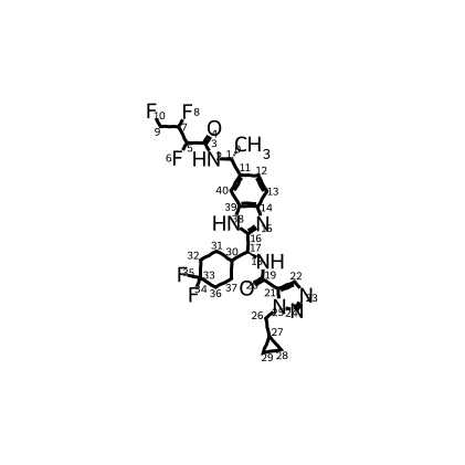 C[C@@H](NC(=O)C(F)C(F)CF)c1ccc2nc([C@@H](NC(=O)c3cnnn3CC3CC3)C3CCC(F)(F)CC3)[nH]c2c1